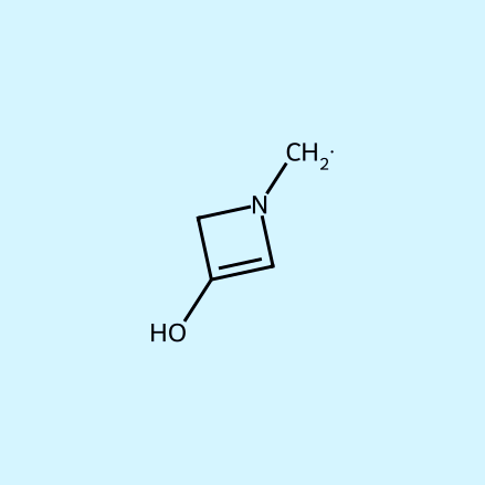 [CH2]N1C=C(O)C1